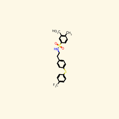 Cc1ccc(S(=O)(=O)NCCc2ccc(Sc3ccc(C(F)(F)F)cc3)cc2)cc1C(=O)O